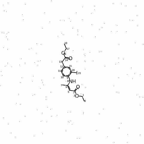 CCOC(=O)/C=C(/C)Nc1ccc(CC(=O)OCC)cc1I